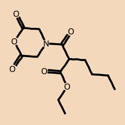 CCCCC(C(=O)OCC)C(=O)N1CC(=O)OC(=O)C1